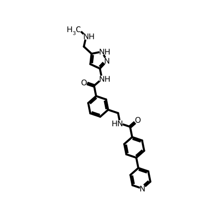 CNCc1cc(NC(=O)c2cccc(CNC(=O)c3ccc(-c4ccncc4)cc3)c2)n[nH]1